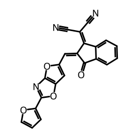 N#CC(C#N)=C1/C(=C/c2cc3oc(-c4ccco4)nc3o2)C(=O)c2ccccc21